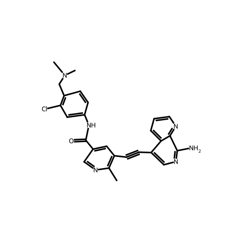 Cc1ncc(C(=O)Nc2ccc(CN(C)C)c(Cl)c2)cc1C#Cc1cnc(N)c2ncccc12